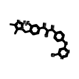 Cc1ncn(Cc2ccc(NC(=O)Nc3ccc(Oc4cc(Cl)ncn4)cc3)cc2C(F)(F)F)c1C